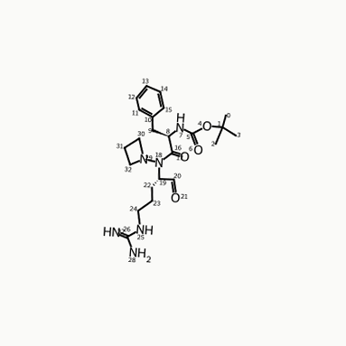 CC(C)(C)OC(=O)N[C@H](Cc1ccccc1)C(=O)N([C@H](C=O)CCCNC(=N)N)N1CCC1